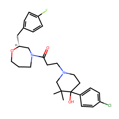 CC1(C)CN(CCC(=O)N2CCCO[C@H](Cc3ccc(F)cc3)C2)CCC1(O)c1ccc(Cl)cc1